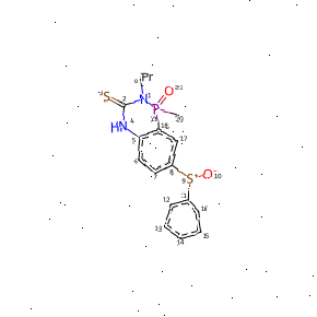 CC(C)N1C(=S)Nc2ccc([S+]([O-])c3ccccc3)cc2P1(C)=O